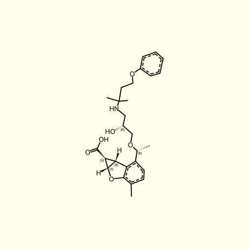 Cc1ccc([C@@H](C)OC[C@H](O)CNC(C)(C)CCOc2ccccc2)c2c1O[C@@H]1[C@@H](C(=O)O)[C@H]21